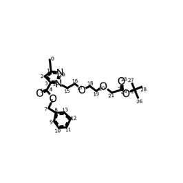 Cc1cc(C(=O)OCc2ccccc2)n(CCOCCOCC(=O)OC(C)(C)C)n1